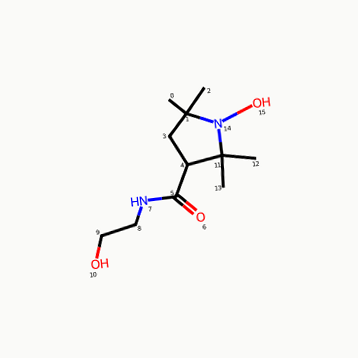 CC1(C)CC(C(=O)NCCO)C(C)(C)N1O